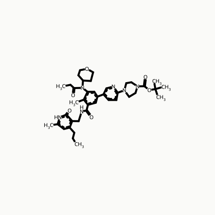 CCCc1cc(C)[nH]c(=O)c1CNC(=O)c1cc(-c2ccc(N3CCN(C(=O)OC(C)(C)C)CC3)nc2)cc(N(C(=O)CC)C2CCOCC2)c1C